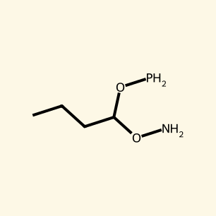 CCCC(ON)OP